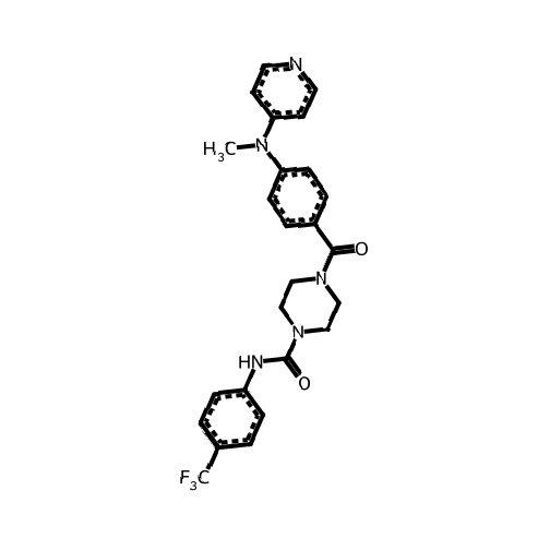 CN(c1ccncc1)c1ccc(C(=O)N2CCN(C(=O)Nc3ccc(C(F)(F)F)cc3)CC2)cc1